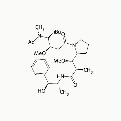 CC[C@H](C)C([C@@H](CC(=O)N1CCC[C@H]1[C@H](OC)[C@@H](C)C(=O)N[C@H](C)[C@@H](O)c1ccccc1)OC)N(C)C(C)=O